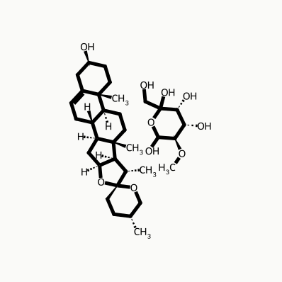 CO[C@H]1C(O)OC(O)(CO)[C@H](O)[C@@H]1O.C[C@@H]1CC[C@@]2(OC1)O[C@H]1C[C@H]3[C@@H]4CC=C5C[C@@H](O)CC[C@]5(C)[C@H]4CC[C@]3(C)[C@H]1[C@@H]2C